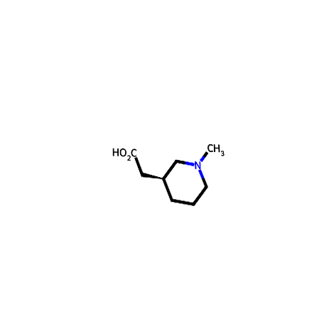 CN1CCC[C@@H](CC(=O)O)C1